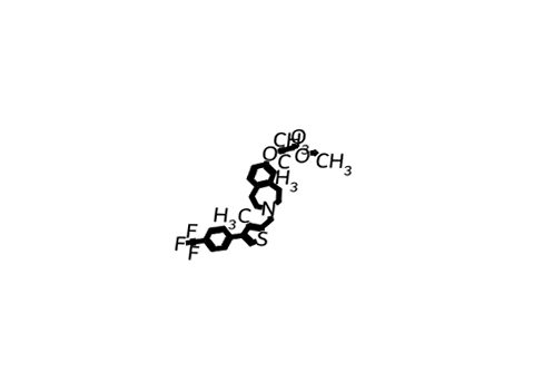 CCOC(=O)C(C)(C)Oc1ccc2c(c1)CCN(Cc1scc(-c3ccc(C(F)(F)F)cc3)c1C)CC2